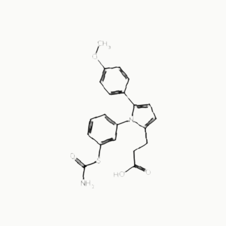 COc1ccc(-c2ccc(CCC(=O)O)n2-c2cccc(SC(N)=O)c2)cc1